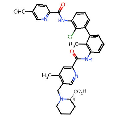 Cc1cc(C(=O)Nc2cccc(-c3cccc(NC(=O)c4ccc(C=O)cn4)c3Cl)c2C)ncc1CN1CCCC[C@H]1C(=O)O